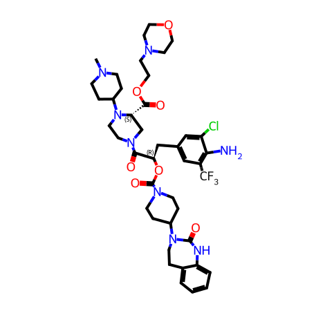 CN1CCC(N2CCN(C(=O)[C@@H](Cc3cc(Cl)c(N)c(C(F)(F)F)c3)OC(=O)N3CCC(N4CCc5ccccc5NC4=O)CC3)C[C@H]2C(=O)OCCN2CCOCC2)CC1